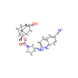 N#Cc1ccc2nc(N[C@@H]3CCN(C(=O)O[C@H]4C5CC6CC4C[C@](O)(C6)C5)C3)ccc2c1